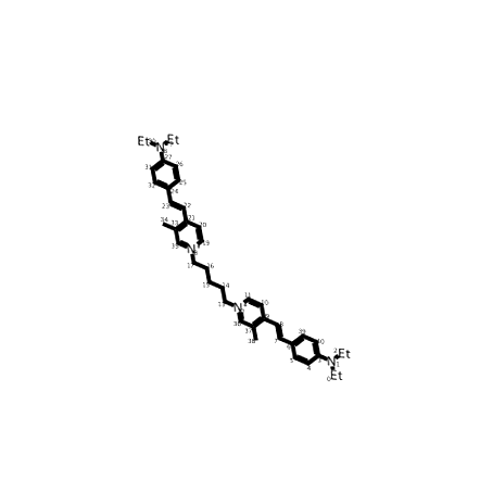 CCN(CC)c1ccc(/C=C/c2cc[n+](CCCCC[n+]3ccc(/C=C/c4ccc(N(CC)CC)cc4)c(C)c3)cc2C)cc1